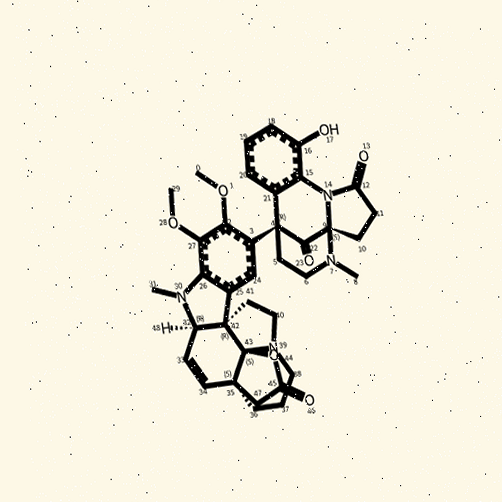 COc1c([C@@]23CCN(C)[C@]4(CCC(=O)N4c4c(O)cccc42)C3=O)cc2c(c1OC)N(C)[C@@H]1C=C[C@@]34CCCN5CC[C@@]21[C@]53OC(=O)C4